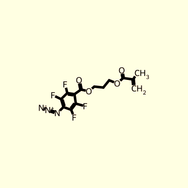 C=C(C)C(=O)OCCCOC(=O)c1c(F)c(F)c(N=[N+]=[N-])c(F)c1F